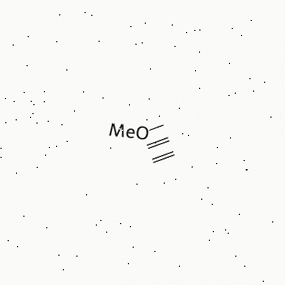 C=C.C=C.COC